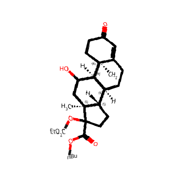 CCCCOC(=O)C1(OC(=O)OCC)CC[C@H]2[C@@H]3CCC4=CC(=O)CC[C@]4(C)[C@@H]3C(O)C[C@@]21C